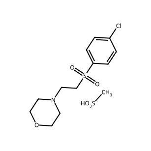 CS(=O)(=O)O.O=S(=O)(CCN1CCOCC1)c1ccc(Cl)cc1